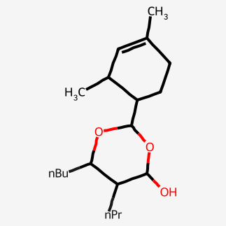 CCCCC1OC(C2CCC(C)=CC2C)OC(O)C1CCC